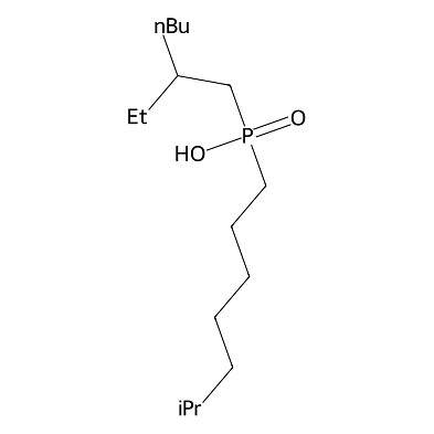 CCCCC(CC)CP(=O)(O)CCCCCC(C)C